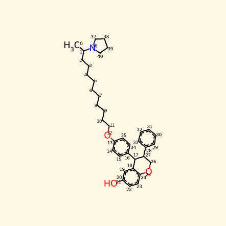 CC(CCCCCCCCCCOc1ccc(C2c3cc(O)ccc3OCC2c2ccccc2)cc1)N1CCCC1